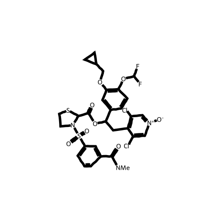 CNC(=O)c1cccc(S(=O)(=O)N2CCSC2C(=O)OC(Cc2c(Cl)c[n+]([O-])cc2Cl)c2ccc(OC(F)F)c(OCC3CC3)c2)c1